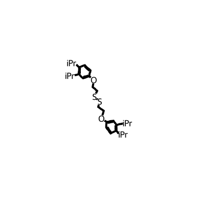 CC(C)c1ccc(OCCSSCCOc2ccc(C(C)C)c(C(C)C)c2)cc1C(C)C